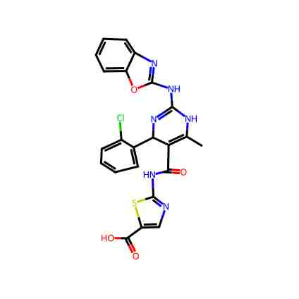 CC1=C(C(=O)Nc2ncc(C(=O)O)s2)C(c2ccccc2Cl)N=C(Nc2nc3ccccc3o2)N1